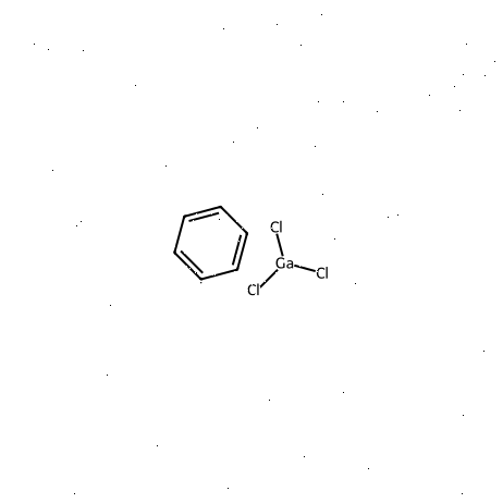 [Cl][Ga]([Cl])[Cl].[c]1ccccc1